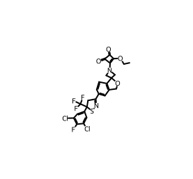 CCOc1c(N2CC3(C2)OCc2cc(C4=NSC(c5cc(Cl)c(F)c(Cl)c5)(C(F)(F)F)C4)ccc23)c(=O)c1=O